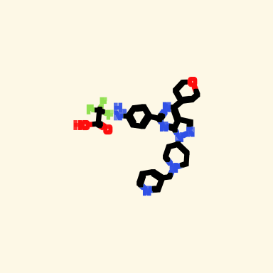 Nc1ccc(-c2nc(C3=CCOCC3)c3cnn(C4CCN(Cc5cccnc5)CC4)c3n2)cc1.O=C(O)C(F)(F)F